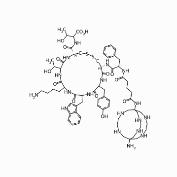 CC(O)C(NC(=O)[C@@H]1CSSC[C@H](NC(=O)C(Cc2ccccc2)NC(=O)CCCC(=O)NC23CNCCNCC(N)(CNCCNC2)CNCCNC3)C(=O)NC(Cc2ccc(O)cc2)C(=O)NC(Cc2c[nH]c3ccccc23)C(=O)NC(CCCCN)C(=O)NC(C(C)O)C(=O)N1)C(=O)O